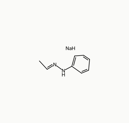 CC=NNc1ccccc1.[NaH]